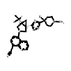 CN1CCC(F)(c2nnc([C@]34CN(c5ccc(C#N)c6ncccc56)C[C@@]3(C(F)(F)F)C4)o2)CC1